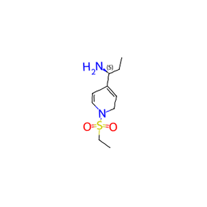 CC[C@H](N)C1=CCN(S(=O)(=O)CC)C=C1